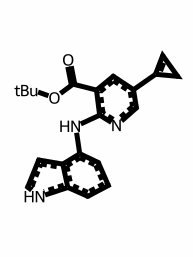 CC(C)(C)OC(=O)c1cc(C2=CC2)cnc1Nc1cccc2[nH]ccc12